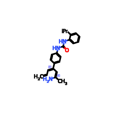 C=C/C=C(\C=C(\C)N)c1ccc(NC(=O)Nc2ccccc2C(C)C)cc1